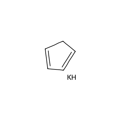 C1=CCC=C1.[KH]